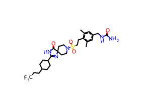 Cc1cc(CNC(N)=O)cc(C)c1CCS(=O)(=O)N1CCC2(CC1)N=C(C1CCC(CCC(F)(F)F)CC1)NC2=O